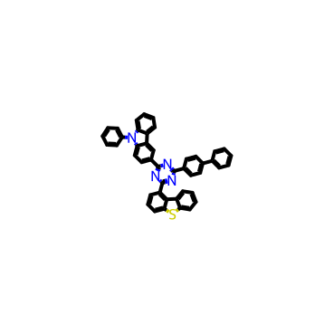 c1ccc(-c2ccc(-c3nc(-c4ccc5c(c4)c4ccccc4n5-c4ccccc4)nc(-c4cccc5sc6ccccc6c45)n3)cc2)cc1